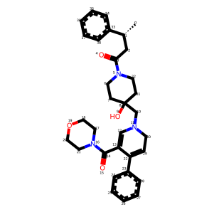 C[C@H](CC(=O)N1CCC(O)(CN2C=C(C(=O)N3CCOCC3)C(c3ccccc3)=CC2)CC1)c1ccccc1